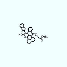 CC(C)(C)OC(=O)CCCNC(=O)c1ccccc1C1=C(c2nc3ccccc3s2)C(O)Oc2c1cc1c3c2CCCN3CCC1